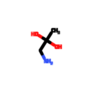 CC(O)(O)CN